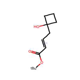 CC(C)(C)OC(=O)/C=C/CC1(O)CCC1